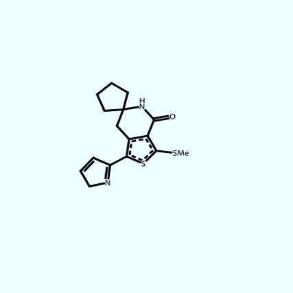 CSc1sc(C2=NCC=C2)c2c1C(=O)NC1(CCCC1)C2